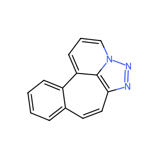 C1=Cc2nnn3cccc(c23)-c2ccccc21